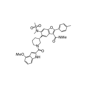 CNC(=O)c1c(-c2ccc(C)cc2)oc2cc(N(C)S(C)(=O)=O)c([C@@H]3CCCN(C(=O)c4cc5c(OC)cccc5[nH]4)C3)cc12